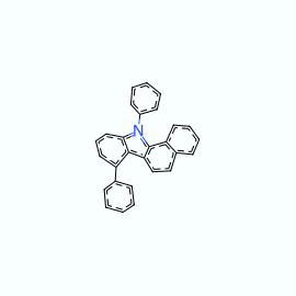 c1ccc(-c2cccc3c2c2ccc4ccccc4c2n3-c2ccccc2)cc1